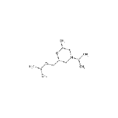 BC1CN(C(C)C)CC(COC(C)C)O1